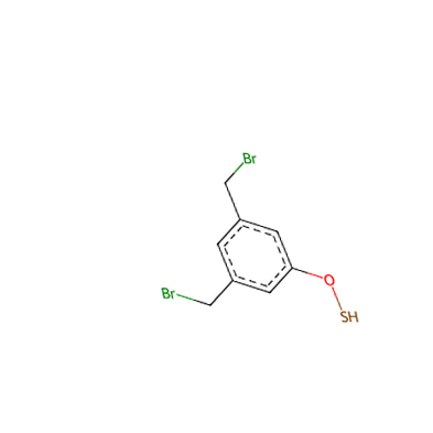 SOc1cc(CBr)cc(CBr)c1